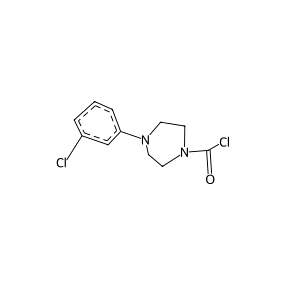 O=C(Cl)N1CCN(c2cccc(Cl)c2)CC1